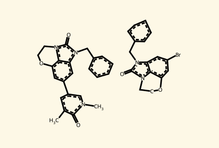 Cc1cc(-c2cc3c4c(c2)n(Cc2ccccc2)c(=O)n4CCO3)cn(C)c1=O.O=c1n(Cc2ccccc2)c2cc(Br)cc3c2n1CCO3